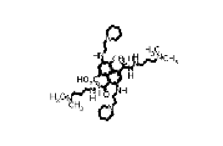 CN(C)CCCNNC(=O)c1cc(NCCN2CCCCC2)c(C(=O)NNCCCN(C)C)c2c(C(=O)O)cc(NCCN3CCCCC3)c(C(=O)O)c12